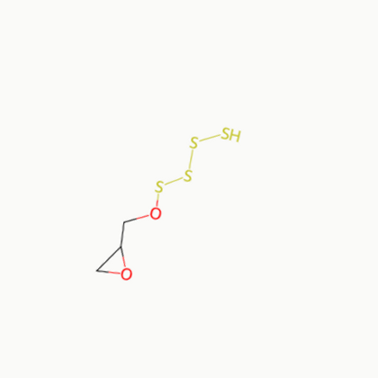 SSSSOCC1CO1